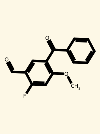 COc1cc(F)c(C=O)cc1C(=O)c1ccccc1